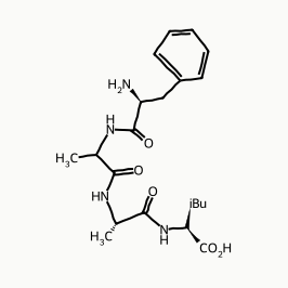 CC[C@H](C)[C@H](NC(=O)[C@H](C)NC(=O)C(C)NC(=O)[C@@H](N)Cc1ccccc1)C(=O)O